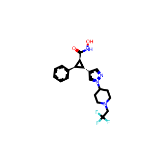 O=C(NO)[C@@H]1[C@H](c2ccccc2)[C@H]1c1cnn(C2CCN(CC(F)(F)F)CC2)c1